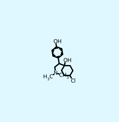 CN(C)CC(c1ccc(O)cc1)C1(O)CCC(Cl)CC1